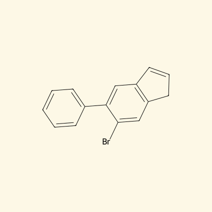 Brc1cc2c(cc1-c1ccccc1)C=CC2